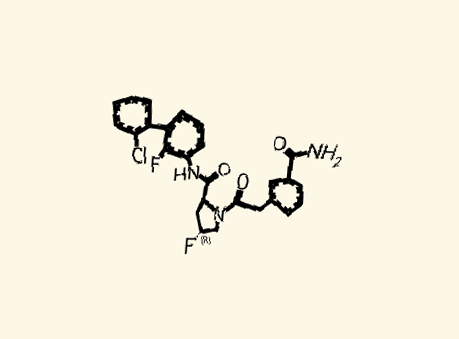 NC(=O)c1cccc(CC(=O)N2C[C@H](F)CC2C(=O)Nc2cccc(-c3ccccc3Cl)c2F)c1